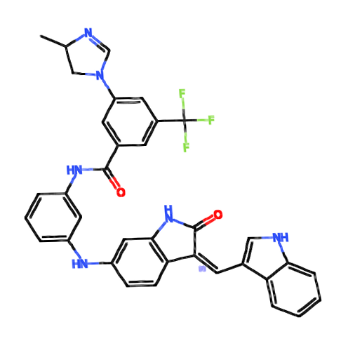 CC1CN(c2cc(C(=O)Nc3cccc(Nc4ccc5c(c4)NC(=O)/C5=C\c4c[nH]c5ccccc45)c3)cc(C(F)(F)F)c2)C=N1